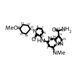 CNc1cc(Nc2cccn([C@H]3CC[C@@H](OC)CC3)c2=O)nc2c(C(N)=O)cnn12